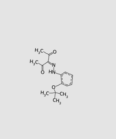 CC(=O)C(=NNc1ccccc1OC(C)(C)C)C(C)=O